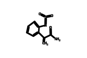 C=C(C(N)=O)c1ccccc1N=S(=O)=O